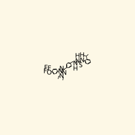 CCN(CC)c1nc(-c2ccc(CNNC(=S)Nc3ccccc3C(C)C)cc2)nn1-c1ccc(OC(F)(F)F)cc1